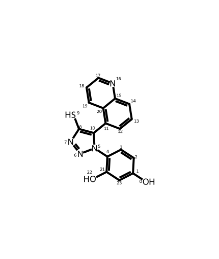 Oc1ccc(-n2nnc(S)c2-c2cccc3ncccc23)c(O)c1